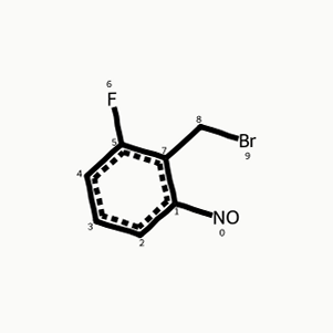 O=Nc1cccc(F)c1CBr